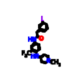 CN1CCC(Nc2ccc(NC(=O)Cc3cccc(I)c3)cc2C(F)(F)F)CC1